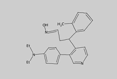 CCN(CC)c1ccc(-c2cnccc2C(CC=NO)c2ccccc2C)cc1